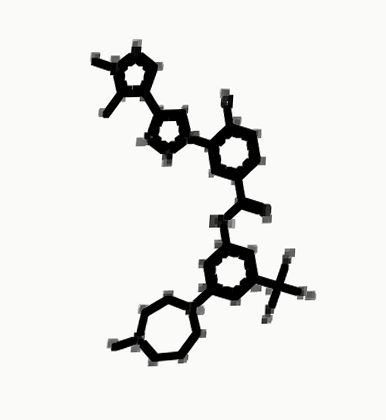 Cc1c(-c2cn(-c3cc(C(=O)Nc4cc(N5CCCN(C)CC5)cc(C(F)(F)F)c4)ccc3Cl)nn2)cnn1C